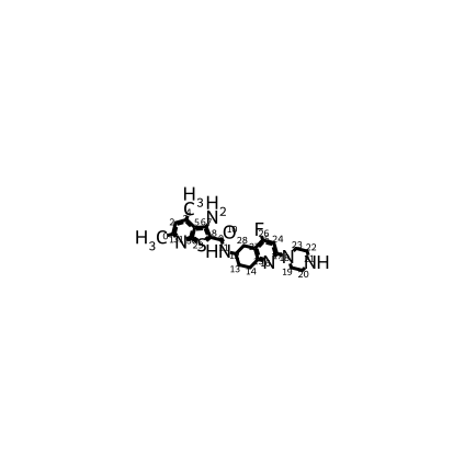 Cc1cc(C)c2c(N)c(C(=O)NC3CCc4nc(N5CCNCC5)cc(F)c4C3)sc2n1